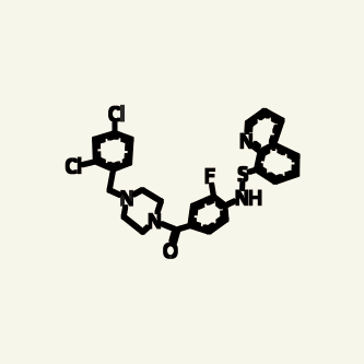 O=C(c1ccc(NSc2cccc3cccnc23)c(F)c1)N1CCN(Cc2ccc(Cl)cc2Cl)CC1